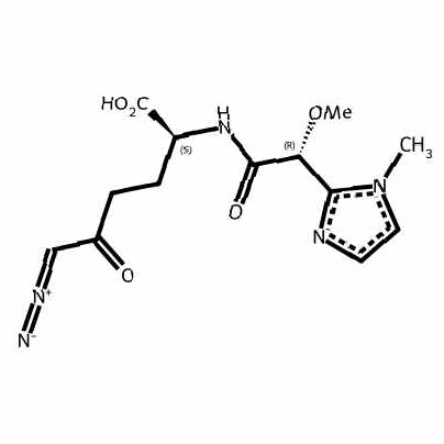 CO[C@@H](C(=O)N[C@@H](CCC(=O)C=[N+]=[N-])C(=O)O)c1nccn1C